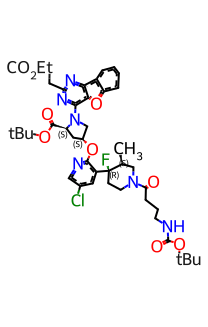 CCOC(=O)Cc1nc(N2C[C@@H](Oc3ncc(Cl)cc3[C@@]3(F)CCN(C(=O)CCCNC(=O)OC(C)(C)C)C[C@@H]3C)C[C@H]2C(=O)OC(C)(C)C)c2oc3ccccc3c2n1